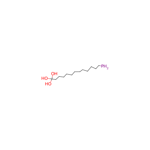 OC(O)(O)CCCCCCCCCCCCP